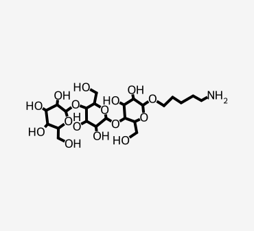 NCCCCCOC1OC(CO)C(OC2OC(CO)C(OC3OC(CO)C(O)C(O)C3O)C(O)C2O)C(O)C1O